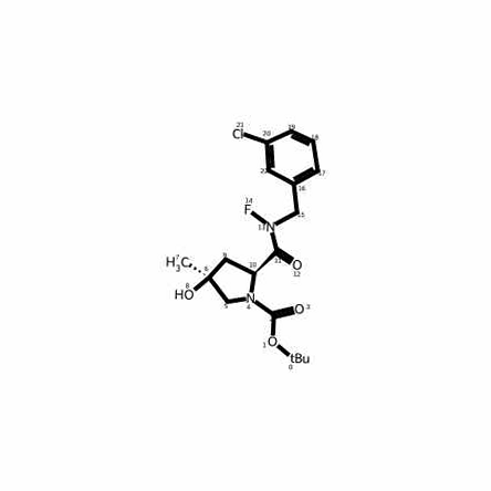 CC(C)(C)OC(=O)N1C[C@@](C)(O)C[C@H]1C(=O)N(F)Cc1cccc(Cl)c1